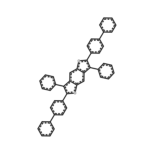 c1ccc(-c2ccc(-c3oc4cc5c(-c6ccccc6)c(-c6ccc(-c7ccccc7)cc6)oc5cc4c3-c3ccccc3)cc2)cc1